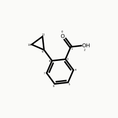 O=C(O)c1ccccc1C1CC1